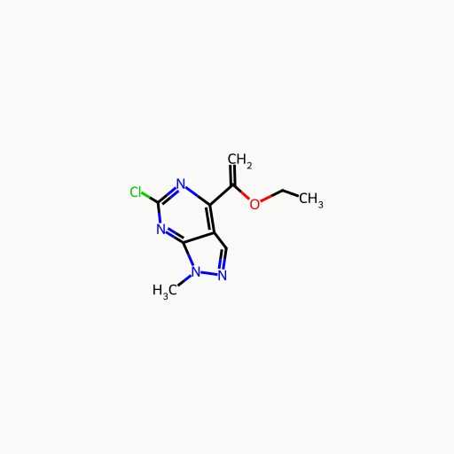 C=C(OCC)c1nc(Cl)nc2c1cnn2C